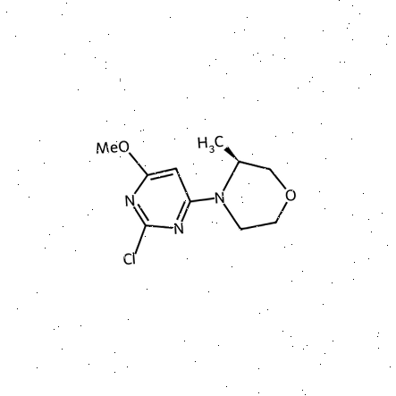 COc1cc(N2CCOC[C@@H]2C)nc(Cl)n1